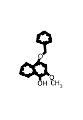 COc1cc(OCc2ccccc2)c2ccccc2c1O